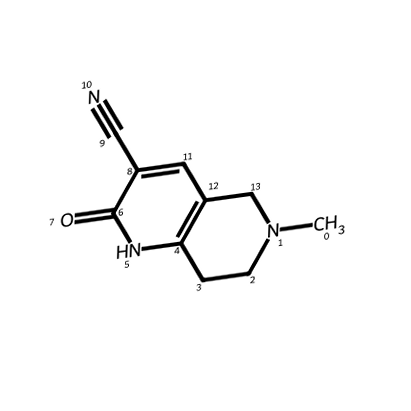 CN1CCc2[nH]c(=O)c(C#N)cc2C1